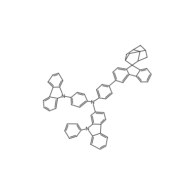 c1ccc(-n2c3ccccc3c3ccc(N(c4ccc(-c5ccc6c(c5)-c5ccccc5C65C6CC7CC(C6)CC5C7)cc4)c4ccc(-n5c6ccccc6c6ccccc65)cc4)cc32)cc1